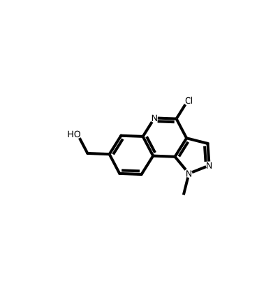 Cn1ncc2c(Cl)nc3cc(CO)ccc3c21